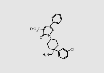 CCOC(=O)c1cc(-c2ccccc2)nn([C@H]2CC[C@](CN)(c3cccc(Cl)c3)CC2)c1=O